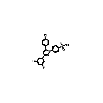 NS(=O)(=O)c1ccc(-n2nc(-c3cc(F)cc(F)c3)cc2-c2ccc(Cl)cc2)cc1